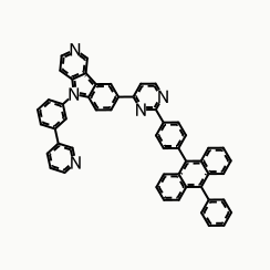 c1ccc(-c2c3ccccc3c(-c3ccc(-c4nccc(-c5ccc6c(c5)c5cnccc5n6-c5cccc(-c6cccnc6)c5)n4)cc3)c3ccccc23)cc1